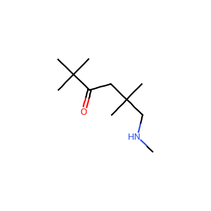 CNCC(C)(C)CC(=O)C(C)(C)C